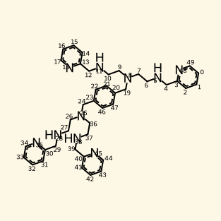 c1ccc(CNCCN(CCNCc2ccccn2)Cc2ccc(CN(CCNCc3ccccn3)CCNCc3ccccn3)cc2)nc1